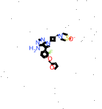 Nc1ncnc2c1c(-c1cccc(OC[C@H]3CCCO3)c1F)cn2[C@H]1C[C@@H](CN2CC[S+]([O-])CC2)C1